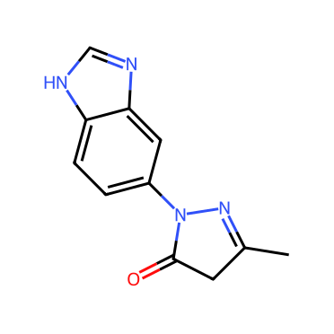 CC1=NN(c2ccc3[nH]cnc3c2)C(=O)C1